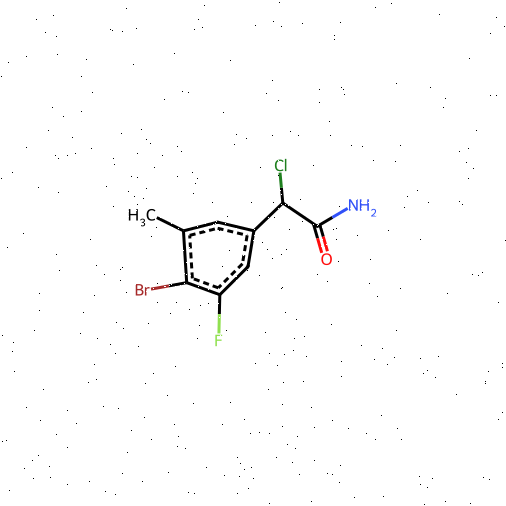 Cc1cc(C(Cl)C(N)=O)cc(F)c1Br